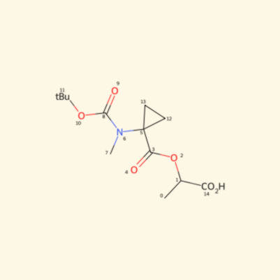 CC(OC(=O)C1(N(C)C(=O)OC(C)(C)C)CC1)C(=O)O